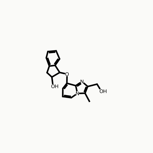 Cc1c(CO)nc2c(OC3c4ccccc4CC3O)cccn12